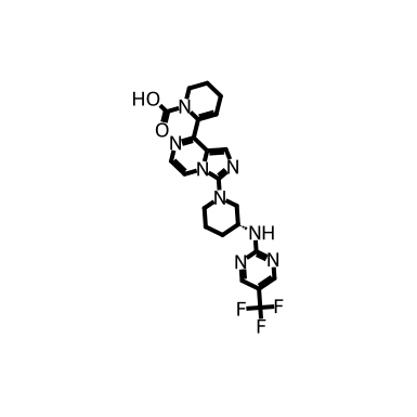 O=C(O)N1CCCC=C1c1nccn2c(N3CCC[C@@H](Nc4ncc(C(F)(F)F)cn4)C3)ncc12